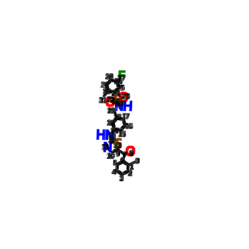 Cc1ccccc1C(=O)c1cnc(Nc2cccc(CNS(=O)(=O)c3cc(F)ccc3C)c2)s1